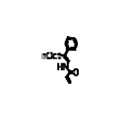 C=CC(=O)NC=C(CCCCCCCC)c1ccccc1